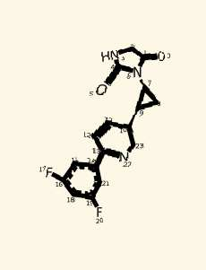 O=C1CNC(=O)N1[C@@H]1C[C@H]1C1C=CC(c2cc(F)cc(F)c2)=NC1